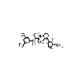 Nc1ncnc(N2CCC[C@@H](N3CCCC(Nc4cc(Cl)cc(C(F)(F)F)c4)C3=O)C2=O)c1F